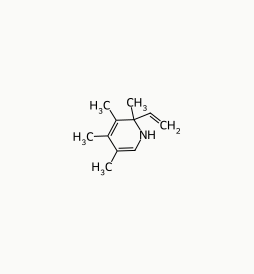 C=CC1(C)NC=C(C)C(C)=C1C